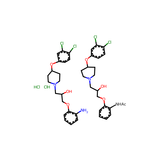 CC(=O)Nc1ccccc1OCC(O)CN1CCC(Oc2ccc(Cl)c(Cl)c2)CC1.Cl.Cl.Nc1ccccc1OCC(O)CN1CCC(Oc2ccc(Cl)c(Cl)c2)CC1